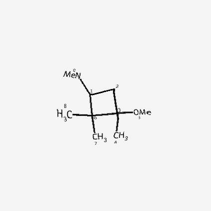 CNC1CC(C)(OC)C1(C)C